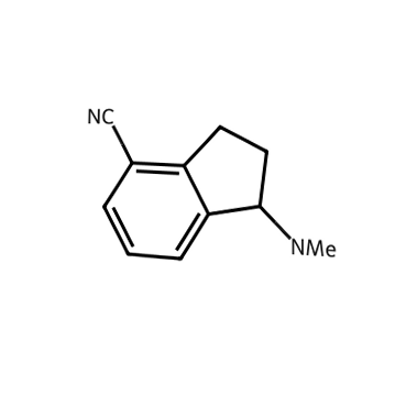 CNC1CCc2c(C#N)cccc21